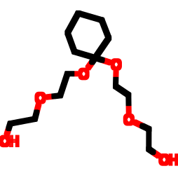 OCCOCCOC1(OCCOCCO)CCCCC1